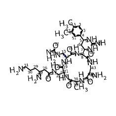 Cc1ccc(C2CC([C@@H]3NC(=O)/C(=C/NC(N)=O)NC(=O)[C@H](CNC(=O)C[C@@H](N)CCCN)NC(=O)[C@H](C)NC(=O)[C@@H](N)CNC3=O)NC(=N)N2)cc1C